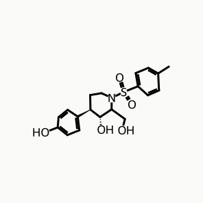 Cc1ccc(S(=O)(=O)N2CC[C@H](c3ccc(O)cc3)[C@@H](O)C2CO)cc1